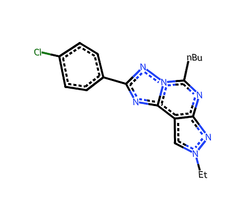 CCCCc1nc2nn(CC)cc2c2nc(-c3ccc(Cl)cc3)nn12